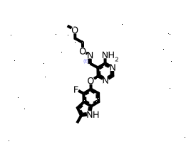 COCCO/N=C/c1c(N)ncnc1Oc1ccc2[nH]c(C)cc2c1F